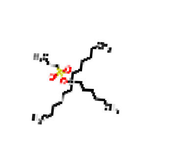 CCCCCC[Si](CCCCCC)(CCCCCC)OS(=O)(=O)CCC